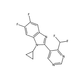 Fc1cc2nc(-c3cncnc3C(F)F)n(C3CC3)c2cc1F